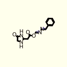 O=C1CNC(CC(=O)O/C=N/N=C/c2ccccc2)N1